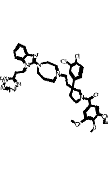 COc1cc(C(=O)N2CCC(CCN3CCCN(c4nc5ccccc5n4CCc4nnn[nH]4)CC3)(c3ccc(Cl)c(Cl)c3)C2)cc(OC)c1OC